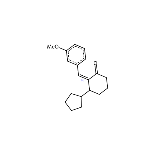 COc1cccc(/C=C2\C(=O)CCCC2C2CCCC2)c1